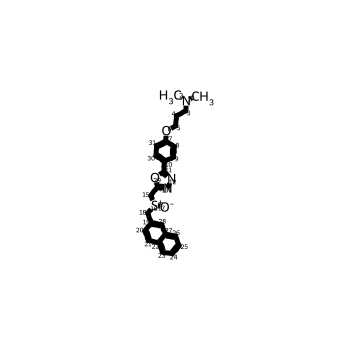 CN(C)CCCOc1ccc(-c2nnc(C[S+]([O-])Cc3ccc4ccccc4c3)o2)cc1